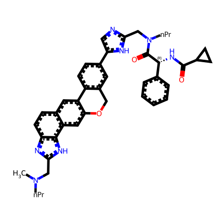 CCCN(C)Cc1nc2ccc3cc4c(cc3c2[nH]1)OCc1cc(-c2cnc(CN(CCC)C(=O)[C@H](NC(=O)C3CC3)c3ccccc3)[nH]2)ccc1-4